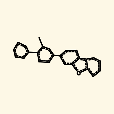 Cc1cc(-c2ccc3c(c2)oc2ccccc23)ccc1-c1ccccc1